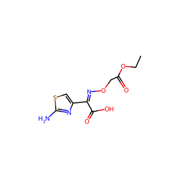 CCOC(=O)CON=C(C(=O)O)c1csc(N)n1